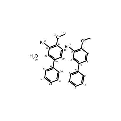 COc1ccc(-c2ccccc2)cc1Br.COc1ccc(-c2ccccc2)cc1Br.O